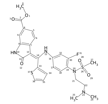 COC(=O)c1ccc2c(c1)NC(=O)C2=C(Nc1ccc(N(CCN(C)C)S(C)(=O)=O)c(F)c1)c1cccs1